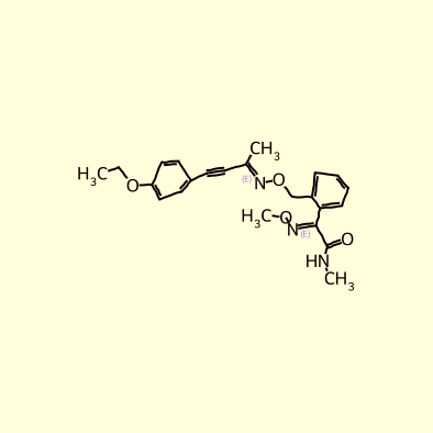 CCOc1ccc(C#C/C(C)=N/OCc2ccccc2/C(=N\OC)C(=O)NC)cc1